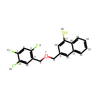 Fc1cc(F)c(COCc2[c]c3ccccc3c(S)c2)cc1F